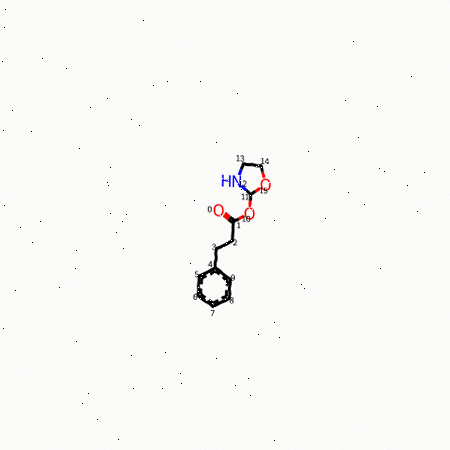 O=C(CCc1ccccc1)OC1NCCO1